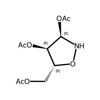 CC(=O)OC[C@H]1ON[C@H](OC(C)=O)[C@@H]1OC(C)=O